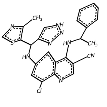 Cc1ncsc1C(Nc1cc(Cl)c2ncc(C#N)c(NC(C)c3ccccc3)c2c1)c1c[nH]nn1